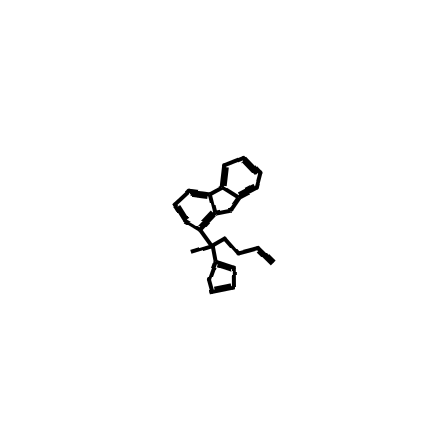 C=CCCC(C)(C1=CC=CC1)c1cccc2c1Cc1ccccc1-2